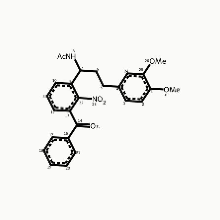 COc1ccc(CCC(NC(C)=O)c2cccc(C(=O)c3ccccc3)c2[N+](=O)[O-])cc1OC